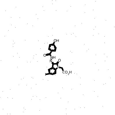 O=C(O)CN1C(=O)C(=NNC(=O)c2ccc(O)cc2)c2cc(I)ccc21